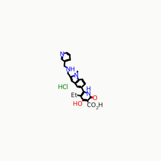 CCc1c(-c2ccc3c(c2)cc(CNCc2cccnc2)n3C)[nH]c(=O)c(C(=O)O)c1O.Cl